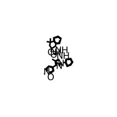 Cc1c(-c2ccn(C)c(=O)c2)nn(-c2ccccc2)c1NC(=O)NC1c2ccccc2C(C)(C)CC1O